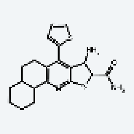 NC(=O)C1Sc2nc3c(c(-c4cccs4)c2C1N)CCC1CCCCC31